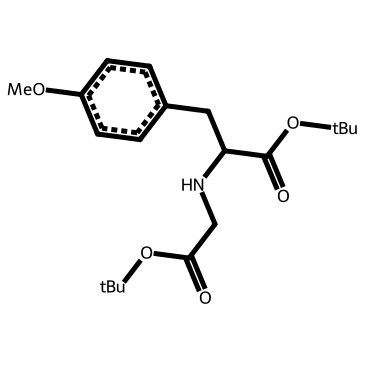 COc1ccc(CC(NCC(=O)OC(C)(C)C)C(=O)OC(C)(C)C)cc1